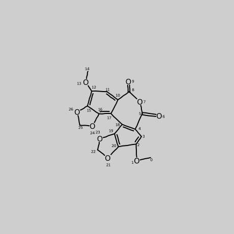 COc1cc2c(=O)oc(=O)c3cc(OC)c4c(c3c2c2c1OCO2)OCO4